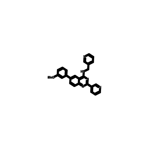 COc1cccc(-c2ccc3nc(-c4cccnc4)nc(NCc4cccnc4)c3c2)c1